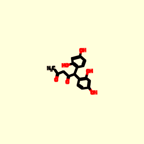 CC(=O)CC(=O)C(c1ccc(O)cc1O)c1ccc(O)cc1O